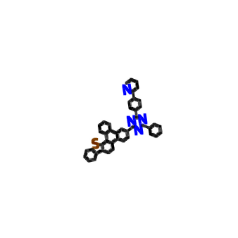 c1ccc(-c2nc(-c3ccc(-c4ccccn4)cc3)nc(-c3ccc4c(c3)c3ccccc3c3c4ccc4c5ccccc5sc43)n2)cc1